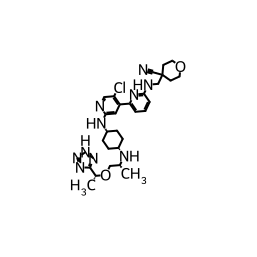 C[C@@H](CO[C@H](C)c1nn[nH]n1)N[C@H]1CC[C@H](Nc2cc(-c3cccc(NCC4(C#N)CCOCC4)n3)c(Cl)cn2)CC1